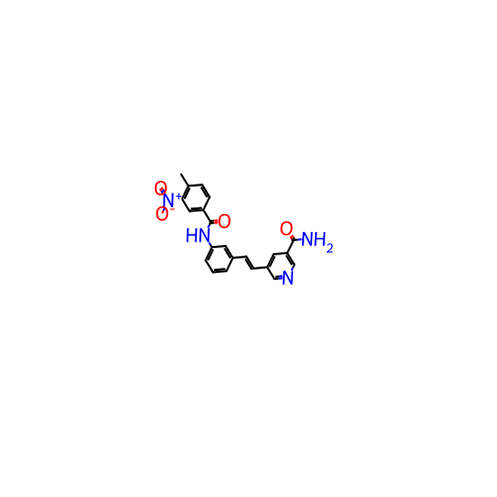 Cc1ccc(C(=O)Nc2cccc(C=Cc3cncc(C(N)=O)c3)c2)cc1[N+](=O)[O-]